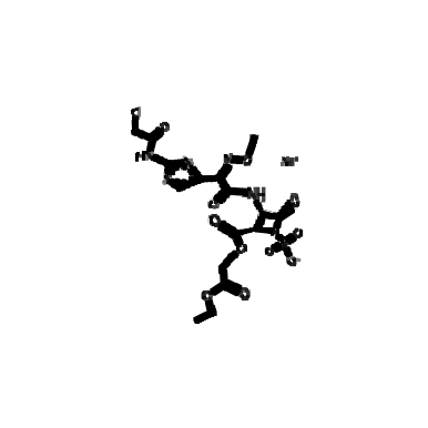 CCOC(=O)COC(=O)[C@H]1[C@@H](NC(=O)/C(=N\OC)c2csc(NC(=O)CCl)n2)C(=O)N1S(=O)(=O)[O-].[Na+]